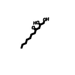 CCCCCCCC(=O)CC(O)CO